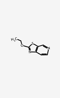 CCOc1nc2ccncc2s1